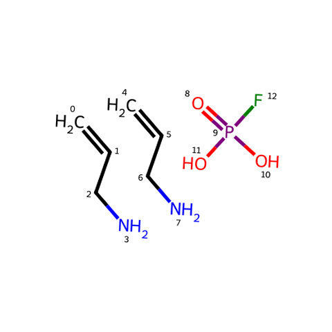 C=CCN.C=CCN.O=P(O)(O)F